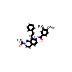 COc1ccc(C(=O)Nc2ccc3c(c2C=Cc2ccccc2)CN(C(=O)C(F)(F)F)CC3)cc1C(F)(F)F